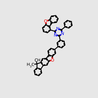 CC1(C)c2ccccc2-c2cc3oc4cc(-c5cccc(-c6nc(-c7ccccc7)nc(-c7cccc8oc9ccccc9c78)n6)c5)ccc4c3cc21